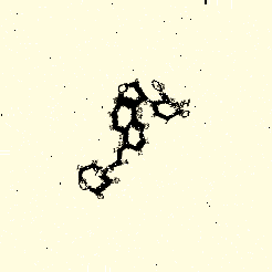 O=C1CC[C@@H](c2coc3ccc4c(CCN5CCOCC5)cccc4c23)C(=O)N1